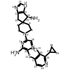 Nc1nc(N2CCC3(CC2)Cc2ncoc2[C@H]3N)cnc1Sc1ccnc(C2CC2)c1Cl